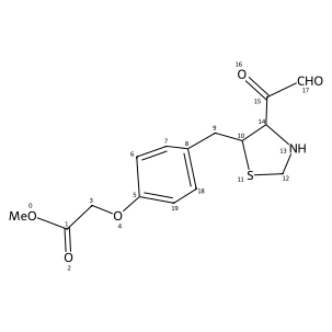 COC(=O)COc1ccc(CC2SCNC2C(=O)C=O)cc1